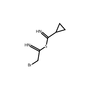 N=C(CBr)SC(=N)C1CC1